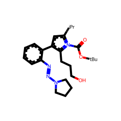 CC(C)c1cc(-c2ccccc2/N=N/N2CCCC2)c(CCCO)n1C(=O)OC(C)(C)C